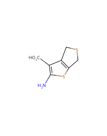 Nc1sc2c(c1C(=O)O)CSC2